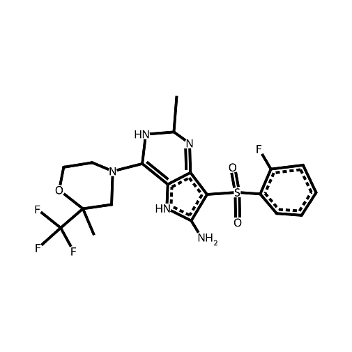 CC1N=c2c(S(=O)(=O)c3ccccc3F)c(N)[nH]c2=C(N2CCOC(C)(C(F)(F)F)C2)N1